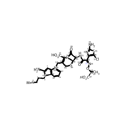 CNCCCn1c(N)cc2c1ccc[n+]2CC1=C(C(=O)O)N2C(=O)[C@@H](NC(=O)/C(=N\O[C@@H](C)C(=O)O)c3nc(N)sc3Cl)C2SC1